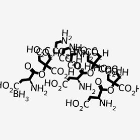 B.NCC(=O)O.NCC(=O)O.NCC(=O)O.N[C@@H](CC(=O)O)C(=O)OC(CC(=O)O)(CC(=O)O)C(=O)O.N[C@@H](CC(=O)O)C(=O)OC(CC(=O)O)(CC(=O)O)C(=O)O.N[C@@H](CC(=O)O)C(=O)OC(CC(=O)O)(CC(=O)O)C(=O)O